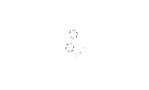 CCNc1c([N+](=O)[O-])ccc(F)c1-c1ccccn1